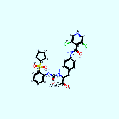 COC(=O)C(Cc1ccc(NC(=O)c2c(Cl)cncc2Cl)cc1)NC(=O)Nc1ccccc1S(=O)(=O)C1CCCC1